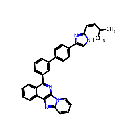 CC(C)/C=C\c1nc(-c2ccc(-c3cccc(-c4nc5c(nc6ccccn65)c5ccccc45)c3)cc2)c[nH]1